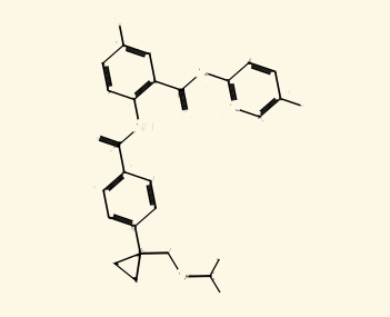 CC(C)NCC1(c2ccc(C(=O)Nc3ccc(Cl)cc3C(=O)Nc3ccc(Cl)cn3)cc2)CC1